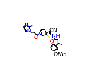 COc1cccc(C(C)CC(=O)Nc2sc3c(c2C#N)CCN(C(=O)CCn2ccnc2C)C3)c1